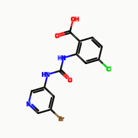 O=C(Nc1cncc(Br)c1)Nc1cc(Cl)ccc1C(=O)O